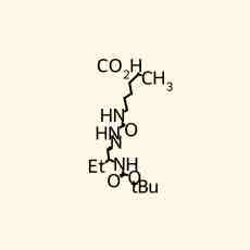 CCC(/C=N/NC(=O)NCCCC[C@@H](C)C(=O)O)NC(=O)OC(C)(C)C